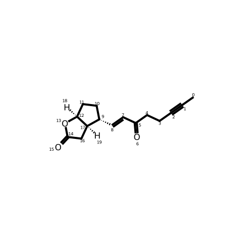 CC#CCCC(=O)/C=C/[C@H]1CC[C@@H]2OC(=O)C[C@@H]21